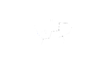 CC1CCCC(C)(C)C1CCC(C)[N+](C)(C)C.[I-]